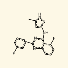 Cc1cc(Nc2nc(-c3[c]ccc(F)c3)nc3cccc(F)c23)n[nH]1